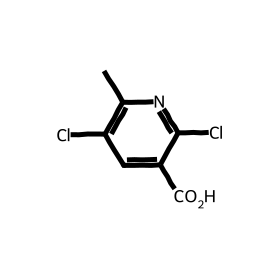 Cc1nc(Cl)c(C(=O)O)cc1Cl